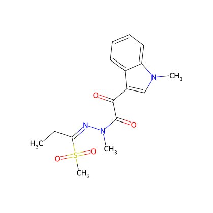 CCC(=NN(C)C(=O)C(=O)c1cn(C)c2ccccc12)S(C)(=O)=O